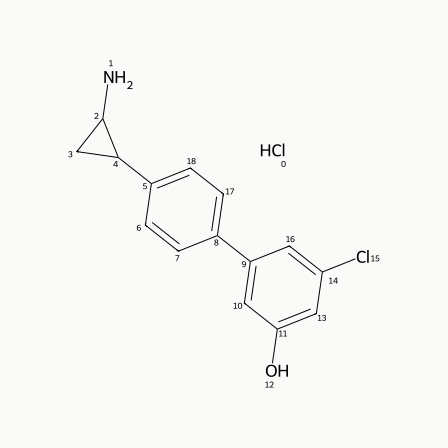 Cl.NC1CC1c1ccc(-c2cc(O)cc(Cl)c2)cc1